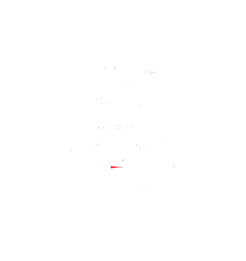 CC(C)(C)OC(=O)N1CCOC[C@H]1OC=O